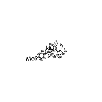 C=C(C)C1(O)CCC2CCC=C2C2=C1C1(C)COC(c3ccc(SC)cc3)CC1CC2=O